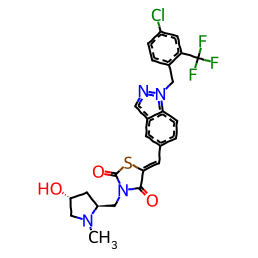 CN1C[C@H](O)C[C@H]1CN1C(=O)SC(=Cc2ccc3c(cnn3Cc3ccc(Cl)cc3C(F)(F)F)c2)C1=O